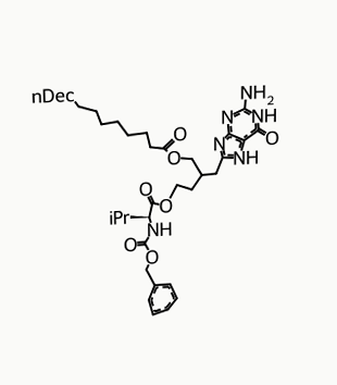 CCCCCCCCCCCCCCCCCC(=O)OCC(CCOC(=O)[C@@H](NC(=O)OCc1ccccc1)C(C)C)Cc1nc2nc(N)[nH]c(=O)c2[nH]1